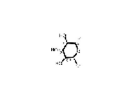 C[C@@H]1O[C@@H]([O])[C@@H](O)[C@H](O)[C@H]1O